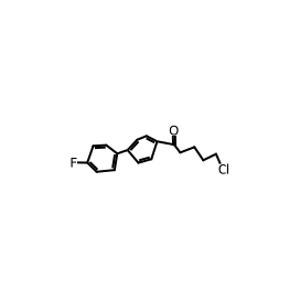 O=C(CCCCCl)c1ccc(-c2ccc(F)cc2)cc1